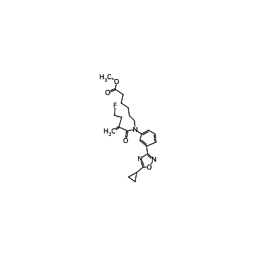 C=C(CCF)C(=O)N(CCCCCC(=O)OC)c1cccc(-c2noc(C3CC3)n2)c1